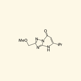 COCc1nc2[nH]c(C(C)C)cc(=O)n2n1